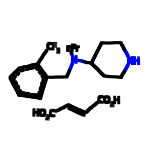 CCCN(Cc1ccccc1C(F)(F)F)C1CCNCC1.O=C(O)C=CC(=O)O